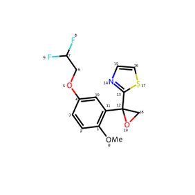 COc1ccc(OCC(F)F)cc1C1(c2nccs2)CO1